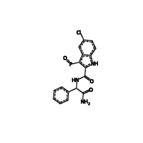 NC(=O)C(NC(=O)c1[nH]c2ccc(Cl)cc2c1P=O)c1ccccc1